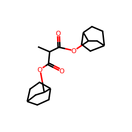 CC(C(=O)OC1CC2CCC1CC2)C(=O)OC1CC2CCC1CC2